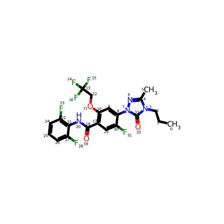 CCCn1c(C)nn(-c2cc(OCC(F)(F)F)c(C(=O)Nc3c(F)cccc3F)cc2F)c1=O